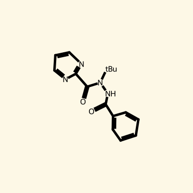 CC(C)(C)N(NC(=O)c1ccccc1)C(=O)c1ncccn1